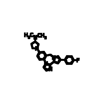 CN(C)[C@@H]1CCN(c2ccc3c(c2)Cn2cc(-c4ccc(F)cc4)cc2-c2nccn2-3)C1